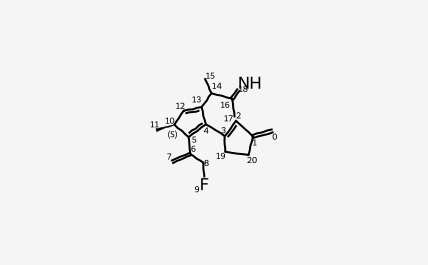 C=C1C=C(C2=C(C(=C)CF)[C@@H](C)C=C2C(C)C(C)=N)CC1